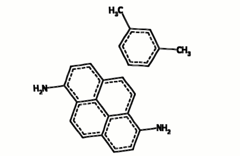 Cc1cccc(C)c1.Nc1ccc2ccc3c(N)ccc4ccc1c2c43